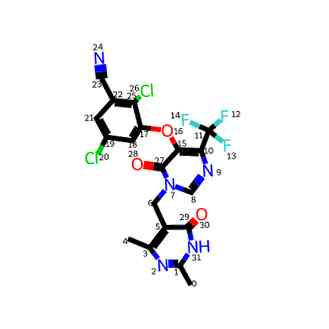 Cc1nc(C)c(Cn2cnc(C(F)(F)F)c(Oc3cc(Cl)cc(C#N)c3Cl)c2=O)c(=O)[nH]1